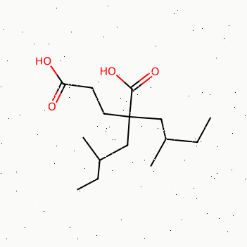 CCC(C)CC(CCC(=O)O)(CC(C)CC)C(=O)O